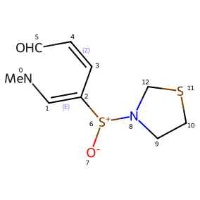 CN/C=C(\C=C/C=O)[S+]([O-])N1CCSC1